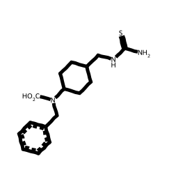 NC(=S)NCC1CCC(N(Cc2ccccc2)C(=O)O)CC1